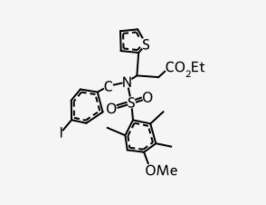 CCOC(=O)CC(c1cccs1)N(Cc1ccc(I)cc1)S(=O)(=O)c1c(C)cc(OC)c(C)c1C